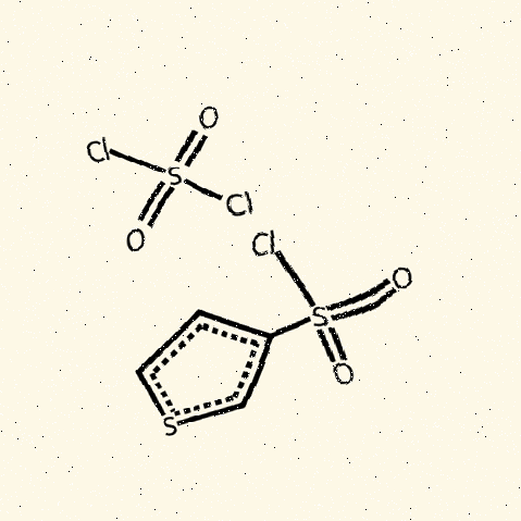 O=S(=O)(Cl)Cl.O=S(=O)(Cl)c1ccsc1